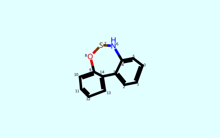 c1ccc2c(c1)[nH]soc1ccccc12